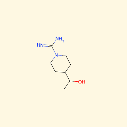 CC(O)C1CCN(C(=N)N)CC1